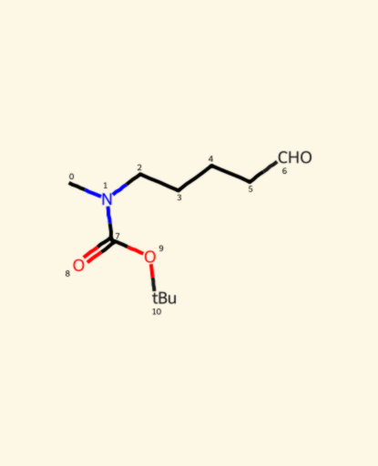 CN(CCCCC=O)C(=O)OC(C)(C)C